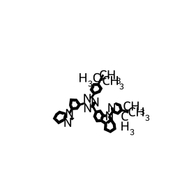 CC(C)(C)c1ccc(-c2nc(-c3cccc(-n4cnc5ccccc54)c3)nc(-c3ccc4c5ccccc5n(-c5cc(C(C)(C)C)ccn5)c4c3)n2)cc1